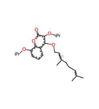 CC(C)=CCC/C(C)=C/COc1c(OC(C)C)c(=O)oc2c(OC(C)C)cccc12